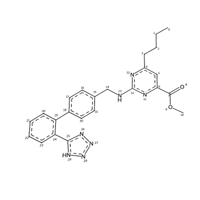 CCCCc1cc(C(=O)OC)nc(NCc2ccc(-c3ccccc3-c3nnn[nH]3)cc2)n1